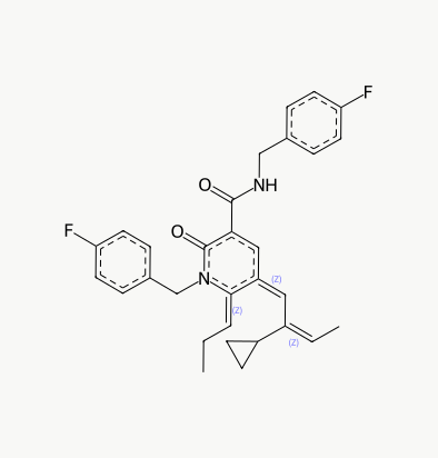 C\C=C(/C=c1/cc(C(=O)NCc2ccc(F)cc2)c(=O)n(Cc2ccc(F)cc2)/c1=C\CC)C1CC1